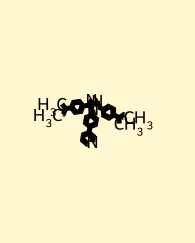 CCC(C)c1ccc(-c2nnc(-c3ccc(C(C)CC)cc3)n2-c2ccc(-c3cccnc3)cc2)cc1